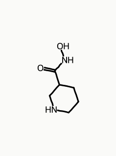 O=C(NO)C1CCCNC1